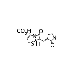 CN1CC/C(=C\C2C(=O)N3C(C(=O)O)=CCS[C@@H]23)C1=O